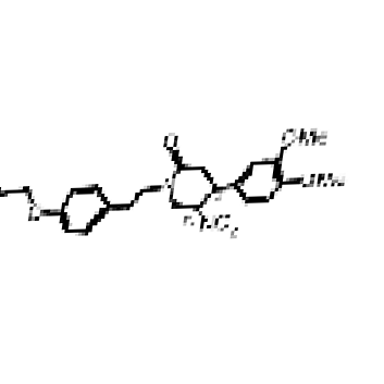 COc1ccc([C@@H]2CC(=O)N(CCc3ccc(OCCl)cc3)C[C@H]2[N+](=O)[O-])cc1OC